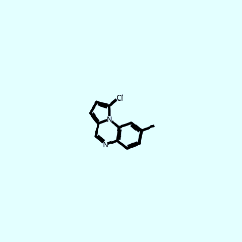 Cc1ccc2ncc3ccc(Cl)n3c2c1